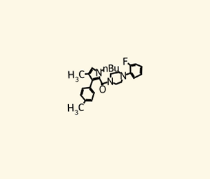 CCCCn1cc(C)c(-c2ccc(C)cc2)c1C(=O)N1CCN(c2ccccc2F)CC1